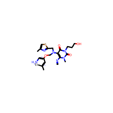 C=Nc1c(N(COC(/C=C(/C)CC)=C/N)Cc2nc(C)cs2)c(=O)n(CCCO)c(=O)n1C